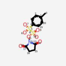 Cc1ccc(S(=O)(=O)S(=O)(=O)ON2C(=O)CCC2=O)cc1